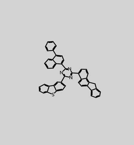 c1ccc(-c2ccc(-c3nc(-c4ccc5sc6ccccc6c5c4)nc(-c4cccc5c6c(ccc45)-c4ccccc4C6)n3)c3ccccc23)cc1